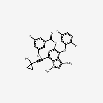 Cn1nc(N)c2c(Oc3cc(F)ccc3Cl)c(NC(=O)c3cc(F)cc(C(F)(F)F)c3)cc(C#CC3(O)CC3)c21